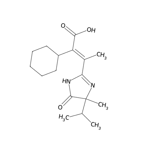 CC(C1=NC(C)(C(C)C)C(=O)N1)=C(C(=O)O)C1CCCCC1